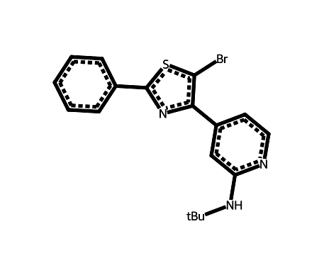 CC(C)(C)Nc1cc(-c2nc(-c3ccccc3)sc2Br)ccn1